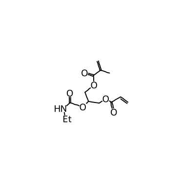 C=CC(=O)OCC(COC(=O)C(=C)C)OC(=O)NCC